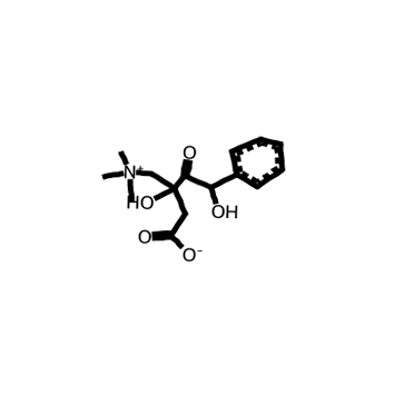 C[N+](C)(C)CC(O)(CC(=O)[O-])C(=O)C(O)c1ccccc1